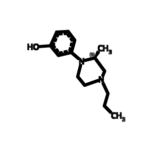 CCCN1CCN(c2cccc(O)c2)[C@@H](C)C1